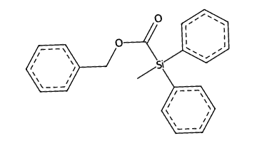 C[Si](C(=O)OCc1ccccc1)(c1ccccc1)c1ccccc1